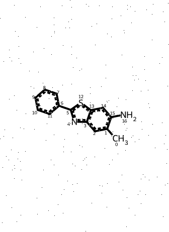 Cc1cc2nc(-c3ccccc3)sc2cc1N